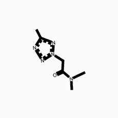 Cc1nnn(CC(=O)N(C)C)n1